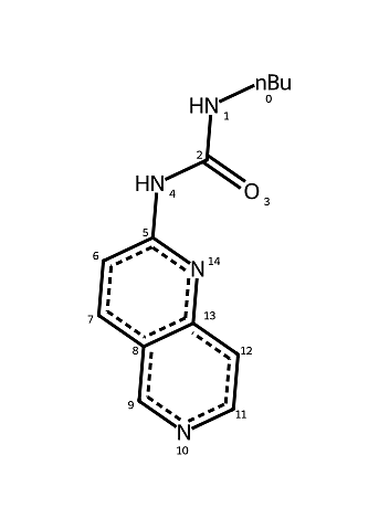 CCCCNC(=O)Nc1ccc2cnccc2n1